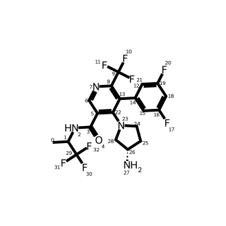 CC(NC(=O)c1cnc(C(F)(F)F)c(-c2cc(F)cc(F)c2)c1N1CC[C@H](N)C1)C(F)(F)F